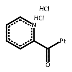 Cl.Cl.O=[C]([Pt])c1ccccn1